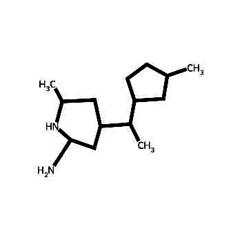 CC1CCC(C(C)C2CC(C)NC(N)C2)C1